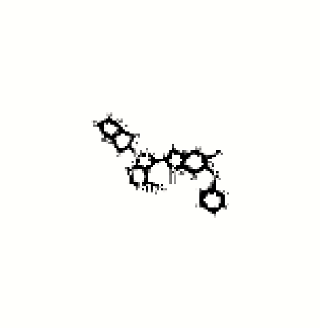 Nc1ncnc2c1c(-c1cc3cc(F)c(Oc4ccccc4)cc3[nH]1)nn2C1Cc2ccccc2C1